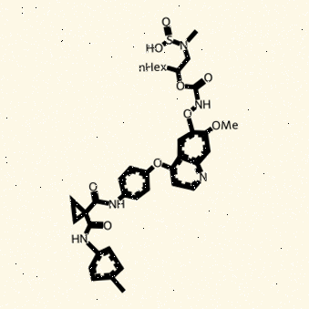 CCCCCCC(CN(C)S(=O)O)OC(=O)NOc1cc2c(Oc3ccc(NC(=O)C4(C(=O)Nc5ccc(C)cc5)CC4)cc3)ccnc2cc1OC